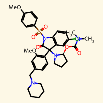 COc1ccc(S(=O)(=O)N2C(=O)C(c3ccc(CN4CCCCC4)cc3OC)(N3CCC[C@@H]3OC(=O)N(C)C)c3cc(Cl)ccc32)cc1